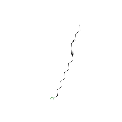 CCCC=CC#CCCCCCCCCCCl